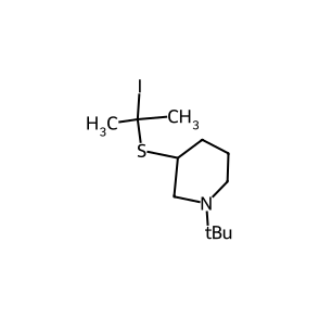 CC(C)(I)SC1CCCN(C(C)(C)C)C1